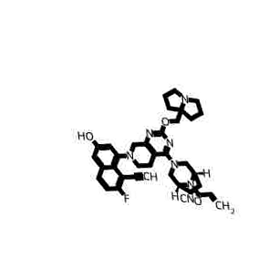 C#Cc1c(F)ccc2cc(O)cc(N3CCc4c(nc(OCC56CCCN5CCC6)nc4N4C[C@@H]5CC(C#N)[C@H](C4)N5C(=O)C=C)C3)c12